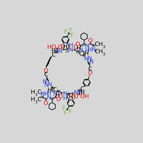 CN[C@@H](C)C(=O)N[C@H](C(=O)N1C[C@@H]2C[C@H]1C(=O)N[C@@H](Cc1cccc(C(F)(F)F)c1)C(=O)N[C@H](C(=O)O)Cc1ccc(cc1)OCc1cn(nn1)[C@H]1C[C@@H](C(=O)N[C@@H](Cc3cccc(C(F)(F)F)c3)C(=O)N[C@H](C(=O)O)Cc3ccc(cc3)OCc3cn2nn3)N(C(=O)[C@@H](NC(=O)[C@H](C)NC)C2CCCCC2)C1)C1CCCCC1